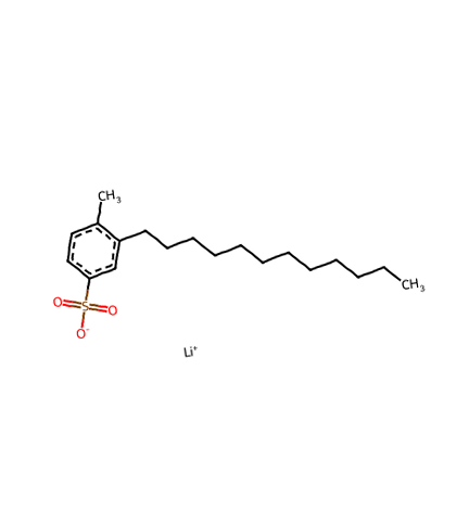 CCCCCCCCCCCCc1cc(S(=O)(=O)[O-])ccc1C.[Li+]